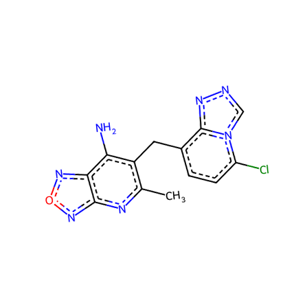 Cc1nc2nonc2c(N)c1Cc1ccc(Cl)n2cnnc12